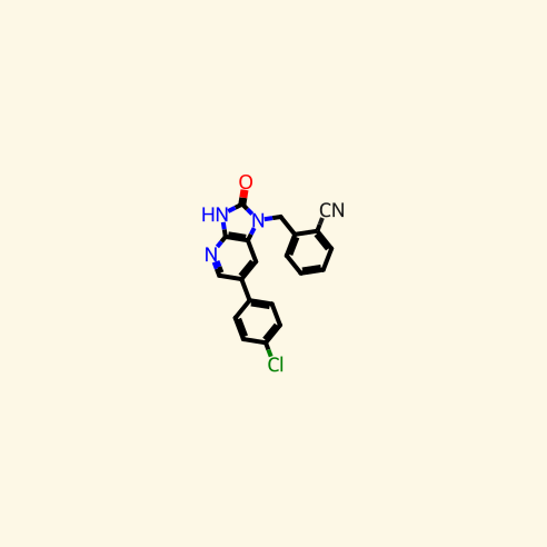 N#Cc1ccccc1Cn1c(=O)[nH]c2ncc(-c3ccc(Cl)cc3)cc21